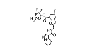 COC(OC(=O)c1cc(F)cc2cc(CNC(=O)c3cnn4cccnc34)oc12)C(F)(F)F